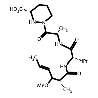 C/C=C/C(OC)[C@@H](C)C(=O)N[C@H](C(=O)N[C@@H](C)C(=O)N1CCC[C@@H](C(=O)O)N1)C(C)C